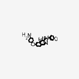 COc1ccc(Nc2cc3cc(O[C@H]4CC[C@@H](N)CC4)ccc3cn2)cc1